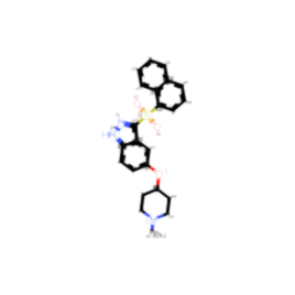 CCCCN1CCC(Oc2ccc3[nH]nc(S(=O)(=O)c4cccc5ccccc45)c3c2)CC1